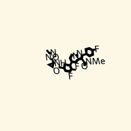 CNC(=O)c1c(-c2ccc(F)cc2)nn2ccc(-c3cc(C(=O)NC4(c5nc(C)no5)CC4)cc(F)c3C)c(F)c12